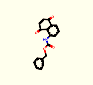 O=C(Nc1cccc2c1C(=O)C=CC2=O)OCc1ccccc1